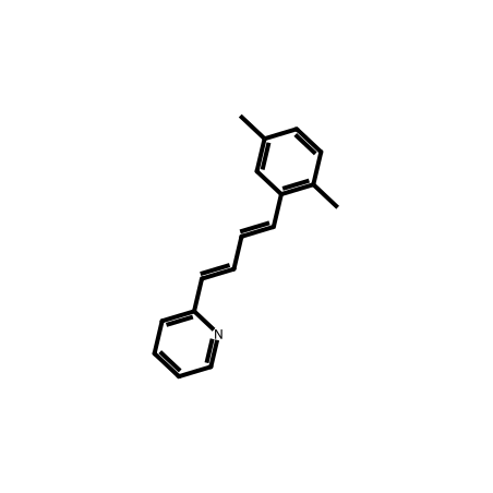 Cc1ccc(C)c(C=CC=Cc2ccccn2)c1